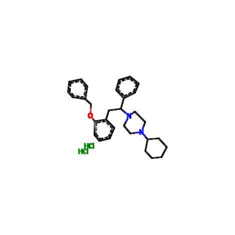 Cl.Cl.c1ccc(COc2ccccc2CC(c2ccccc2)N2CCN(C3CCCCC3)CC2)cc1